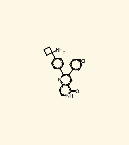 Cl.NC1(c2ccc(-c3nc4cc[nH]c(=O)c4cc3-c3ccccc3)cc2)CCC1